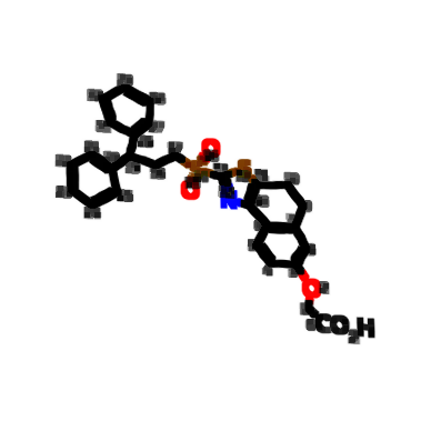 O=C(O)COc1ccc2c(c1)CCc1sc(S(=O)(=O)CCC(c3ccccc3)c3ccccc3)nc1-2